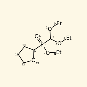 CCOC(OCC)P(=O)(OCC)C1CCCO1